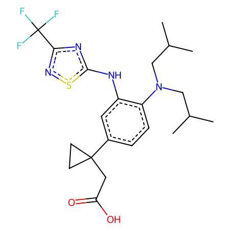 CC(C)CN(CC(C)C)c1ccc(C2(CC(=O)O)CC2)cc1Nc1nc(C(F)(F)F)ns1